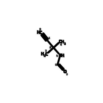 C#CC(C)(C)NC=O